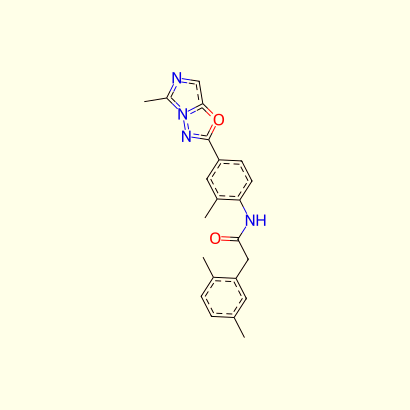 Cc1ccc(C)c(CC(=O)Nc2ccc(-c3nn4c(C)ncc4o3)cc2C)c1